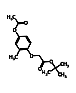 CC(=O)Oc1ccc(OCC(=O)OC(C)(C)C)c(C)c1